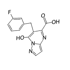 O=C(O)c1nc2ccnn2c(O)c1Cc1cccc(F)c1